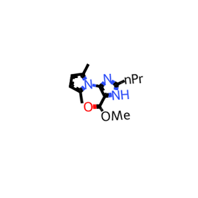 CCCc1nc(-n2c(C)ccc2C)c(C(=O)OC)[nH]1